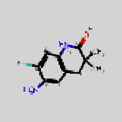 CC1(C)Cc2cc(N)c(F)cc2NC1=O